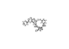 O=C(Cn1c(=O)oc2c3cc(cc21)Nc1nc(ncc1Cl)Nc1cccc(c1)CC3)N1CCOCC1